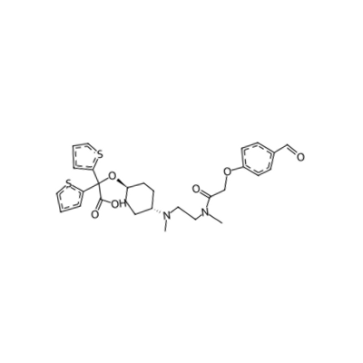 CN(CCN(C)[C@H]1CC[C@H](OC(C(=O)O)(c2cccs2)c2cccs2)CC1)C(=O)COc1ccc(C=O)cc1